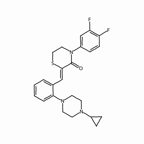 O=C1C(=Cc2ccccc2N2CCN(C3CC3)CC2)SCCN1c1ccc(F)c(F)c1